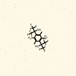 Cc1c(N)c(C(O)(C(F)(F)F)C(F)(F)F)c(C)c(N)c1C(O)(C(F)(F)F)C(F)(F)F